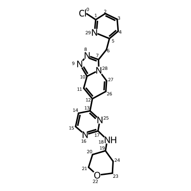 Clc1cccc(Cc2nnc3cc(-c4ccnc(NC5CCOCC5)n4)ccn23)n1